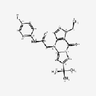 CCn1ncc2c1c(=O)n1nc(C(C)(C)C)cc1n2CC(=O)Nc1ccc(F)cn1